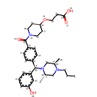 CCCN1C[C@H](C)N([C@H](c2ccc(C(=O)N3CCC(OCCC(=O)O)CC3)cc2)c2cccc(O)c2)C[C@H]1C